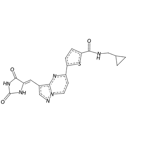 O=C1NC(=O)/C(=C/c2cnn3ccc(-c4ccc(C(=O)NCC5CC5)s4)nc23)N1